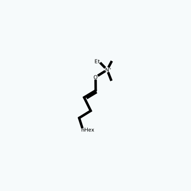 CCCCCCCCC=CO[N+](C)(C)CC